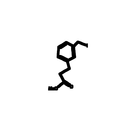 COC(=O)CCc1cccc(CI)c1